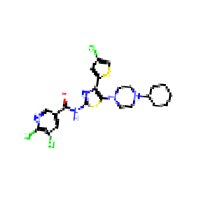 O=C(Nc1nc(-c2cc(Cl)cs2)c(N2CCN(C3CCCCC3)CC2)s1)c1cnc(Cl)c(Cl)c1